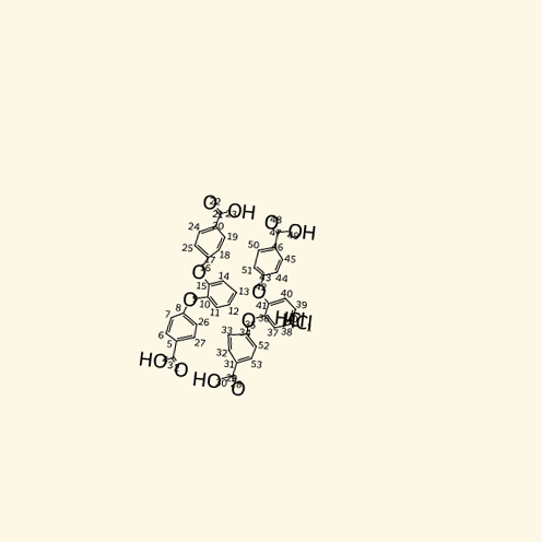 Cl.Cl.O=C(O)c1ccc(Oc2ccccc2Oc2ccc(C(=O)O)cc2)cc1.O=C(O)c1ccc(Oc2ccccc2Oc2ccc(C(=O)O)cc2)cc1